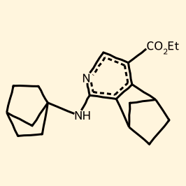 CCOC(=O)c1cnc(NC23CCC(CC2)C3)c2c1C1CCC2C1